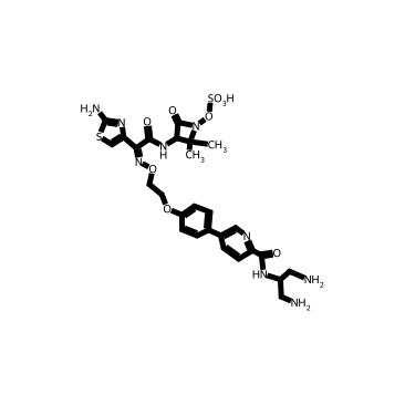 CC1(C)C(NC(=O)/C(=N\OCCOc2ccc(-c3ccc(C(=O)NC(CN)CN)nc3)cc2)c2csc(N)n2)C(=O)N1OS(=O)(=O)O